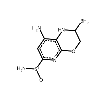 BC1COc2nc([S+](N)[O-])cc(N)c2N1